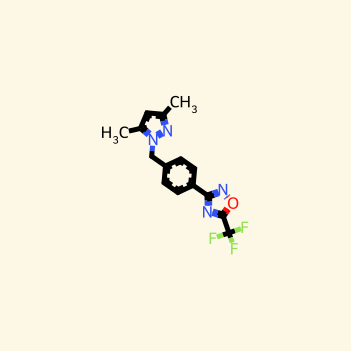 Cc1cc(C)n(Cc2ccc(-c3noc(C(F)(F)F)n3)cc2)n1